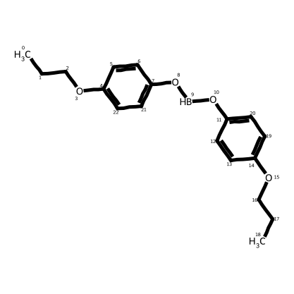 CCCOc1ccc(OBOc2ccc(OCCC)cc2)cc1